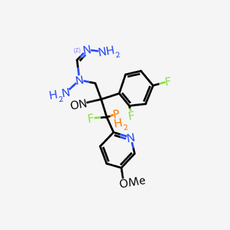 COc1ccc(C(F)(P)C(CN(N)/C=N\N)(N=O)c2ccc(F)cc2F)nc1